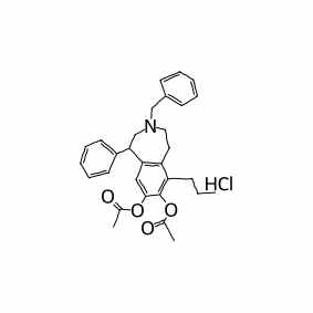 CCCc1c2c(cc(OC(C)=O)c1OC(C)=O)C(c1ccccc1)CN(Cc1ccccc1)CC2.Cl